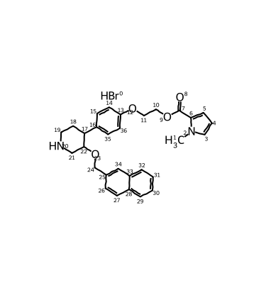 Br.Cn1cccc1C(=O)OCCOc1ccc(C2CCNCC2OCc2ccc3ccccc3c2)cc1